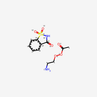 CC(=O)OOCCN.O=C1NS(=O)(=O)c2ccccc21